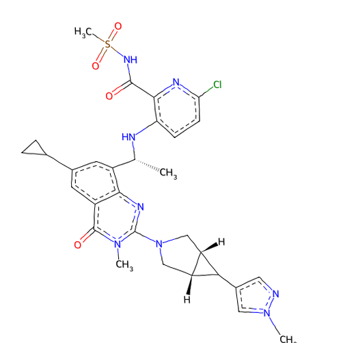 C[C@@H](Nc1ccc(Cl)nc1C(=O)NS(C)(=O)=O)c1cc(C2CC2)cc2c(=O)n(C)c(N3C[C@@H]4C(c5cnn(C)c5)[C@@H]4C3)nc12